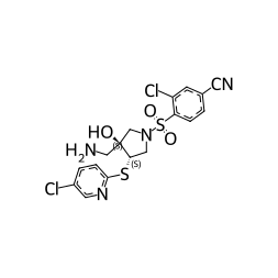 N#Cc1ccc(S(=O)(=O)N2C[C@H](Sc3ccc(Cl)cn3)[C@](O)(CN)C2)c(Cl)c1